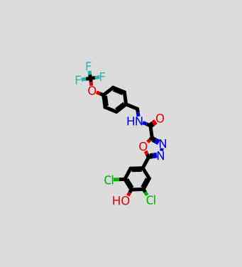 O=C(NCc1ccc(OC(F)(F)F)cc1)c1nnc(-c2cc(Cl)c(O)c(Cl)c2)o1